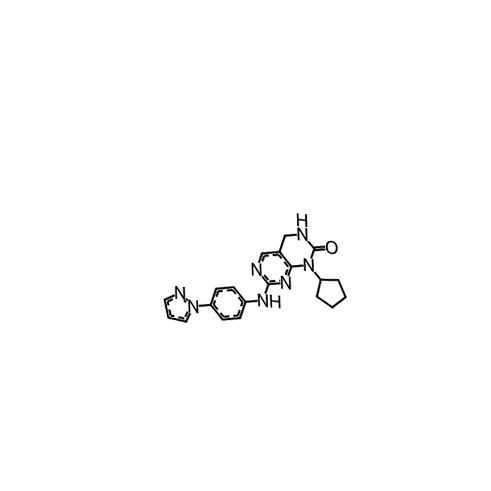 O=C1NCc2cnc(Nc3ccc(-n4cccn4)cc3)nc2N1C1CCCC1